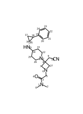 CN(C)C(=O)CN1CC(CC#N)(N2CCC(N[C@@H]3CC3c3ccccc3)CC2)C1